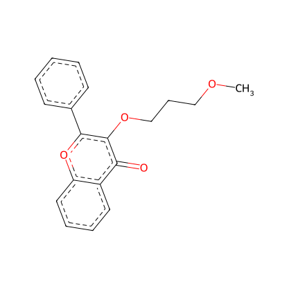 COCCCOc1c(-c2ccccc2)oc2ccccc2c1=O